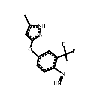 Cc1cc(Oc2ccc(N=N)c(C(F)(F)F)c2)n[nH]1